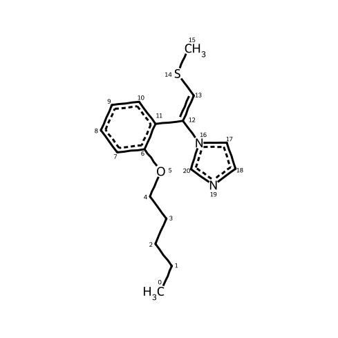 CCCCCOc1ccccc1/C(=C\SC)n1ccnc1